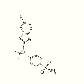 CC1(C)[C@@H](c2ccc(S(N)(=O)=O)cc2)[C@@H]1c1nc2ccc(F)cc2s1